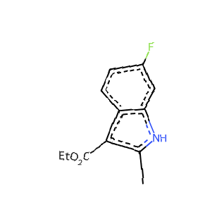 CCOC(=O)c1c(C)[nH]c2cc(F)ccc12